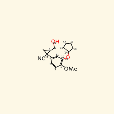 COc1ccc([C@]2(C#N)C[C@H]2CO)cc1OC1CCCC1